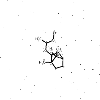 CCOC(C)O[C]1CC2CCC1(C)C2(C)C